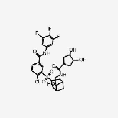 O=C(Nc1cc(F)c(F)c(F)c1)c1ccc(Cl)c(S(=O)(=O)C2CC3CC(C2)C3(O)CNC(=O)C2CC(O)C(O)C2)c1